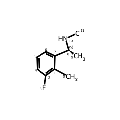 Cc1c(F)cccc1[C@H](C)NCl